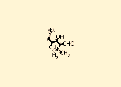 C[CH2][Y][CH2]C(C)C(O)C(C=O)N(C)C